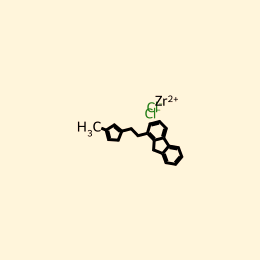 CC1=CCC(CCc2cccc3c2Cc2ccccc2-3)=C1.[Cl-].[Cl-].[Zr+2]